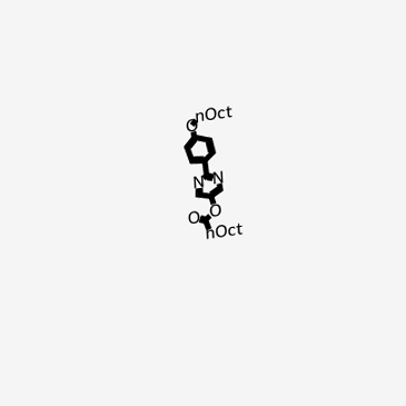 CCCCCCCCOc1ccc(-c2ncc(OC(=O)CCCCCCCC)cn2)cc1